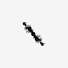 C[N+](C)(C)CCNC(=O)c1ccc2nc(-c3ccc(-c4nc5ccc(C(=O)NCC[N+](C)(C)C)cc5[nH]4)cc3)[nH]c2c1